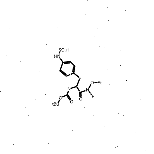 CCON(CC)C(=O)C(Cc1ccc(NS(=O)(=O)O)cc1)NC(=O)OC(C)(C)C